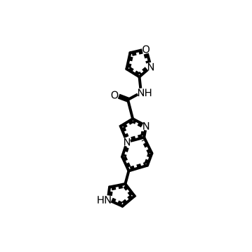 O=C(Nc1ccon1)c1cn2cc(-c3cc[nH]c3)ccc2n1